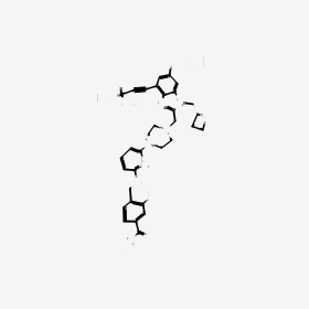 CC(C)(O)C#Cc1cc(C(=O)O)cc2c1nc(CN1CCN(c3cccc(OCc4ccc(C(N)=O)cc4F)n3)CC1)n2C[C@@H]1CCO1